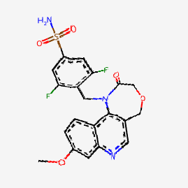 COc1ccc2c3c(cnc2c1)COCC(=O)N3Cc1c(F)cc(S(N)(=O)=O)cc1F